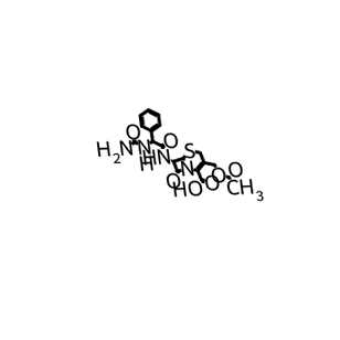 CC(=O)OCC1=C(C(=O)O)N2C(=O)[C@H](NC(=O)C(NC(N)=O)c3ccccc3)C2SC1